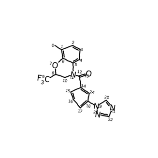 Cc1cccc2c1OC(C(F)(F)F)CN2C(=O)c1cccc(-n2cncn2)c1